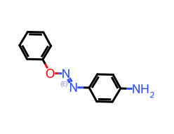 Nc1ccc(/N=N/Oc2ccccc2)cc1